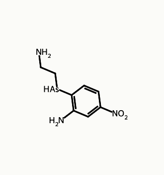 NCC[AsH]c1ccc([N+](=O)[O-])cc1N